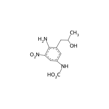 CC(O)Cc1cc(NC(=O)O)cc([N+](=O)[O-])c1N